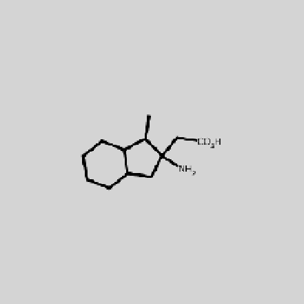 CC1C2CCCCC2CC1(N)CC(=O)O